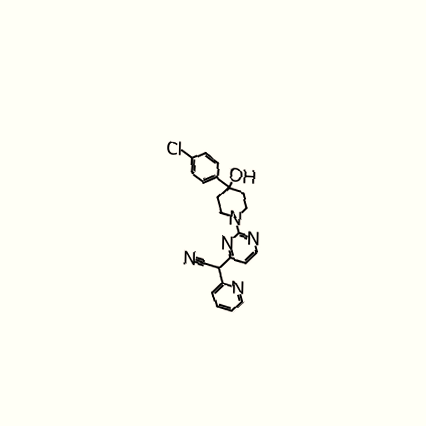 N#CC(c1ccccn1)c1ccnc(N2CCC(O)(c3ccc(Cl)cc3)CC2)n1